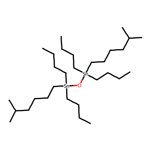 CCC[CH2][Sn]([CH2]CCC)([CH2]CCCC(C)C)[O][Sn]([CH2]CCC)([CH2]CCC)[CH2]CCCC(C)C